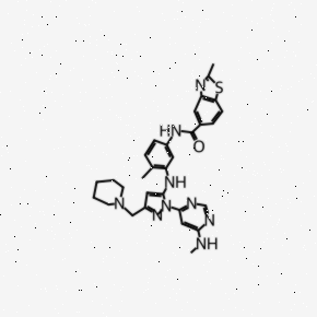 CNc1cc(-n2nc(CN3CCCCC3)cc2Nc2cc(NC(=O)c3ccc4sc(C)nc4c3)ccc2C)ncn1